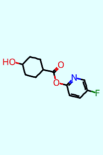 O=C(Oc1ccc(F)cn1)C1CCC(O)CC1